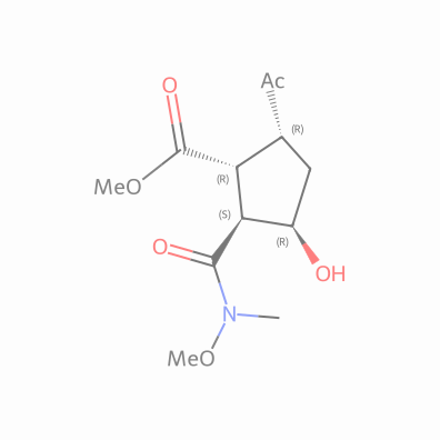 COC(=O)[C@H]1[C@H](C(=O)N(C)OC)[C@H](O)C[C@H]1C(C)=O